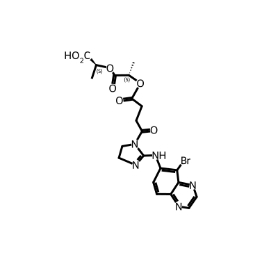 C[C@H](OC(=O)[C@H](C)OC(=O)CCC(=O)N1CCN=C1Nc1ccc2nccnc2c1Br)C(=O)O